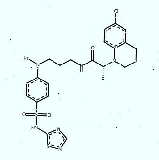 CCN(CCCNC(=O)[C@@H](C)N1CCCc2cc(Cl)ccc21)c1ccc(S(=O)(=O)Nc2ncns2)cc1